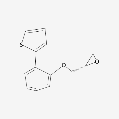 c1csc(-c2ccccc2OC[C@@H]2CO2)c1